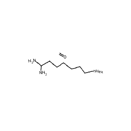 C=O.CCCCCCCCCCCCC(N)N